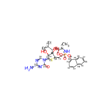 CCC(CC)COC(=O)[C@H](C)NP(=O)(OC[C@H]1S[C@@H](n2cnc(N)nc2=O)[C@@H](O)[C@H]1O)Oc1cccc2ccccc12